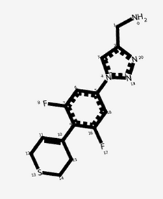 NCc1cn(-c2cc(F)c(C3=CCSCC3)c(F)c2)nn1